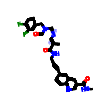 CNC(=O)c1cnc2ccc(C#CCNC(=O)/C(C)=C/N=C\N(C=O)Cc3ccc(F)c(F)c3)cc2c1